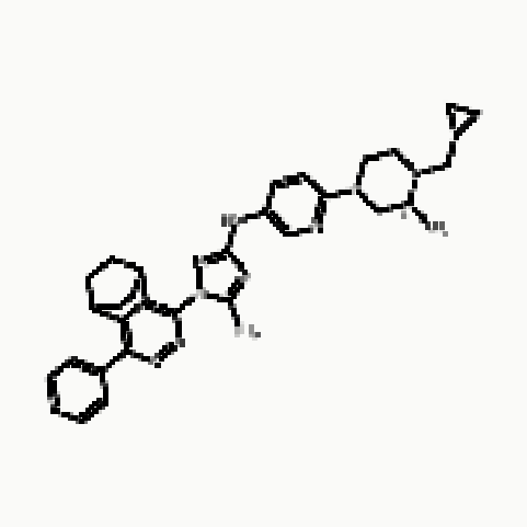 C[C@H]1CN(c2ccc(Nc3nc(N)n(-c4nnc(-c5ccccc5)c5c4C4CCC5CC4)n3)cn2)CCN1CC1CC1